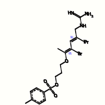 C/C(OCCCOS(=O)(=O)c1ccc(C)cc1)=C(Br)\C=C(\CNC(=N)N)C(C)C